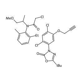 C#CCOc1cc(-n2nc(C(C)(C)C)oc2=O)c(Cl)cc1Cl.CCc1cccc(C)c1N(C(=O)CCl)C(C)COC